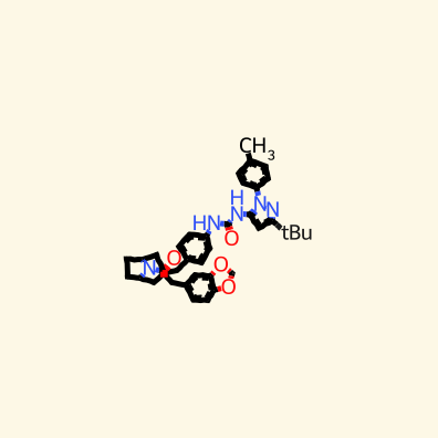 Cc1ccc(-n2nc(C(C)(C)C)cc2NC(=O)Nc2ccc(CC3CC4CCC(C3)N4C(=O)Cc3ccc4c(c3)OCO4)cc2)cc1